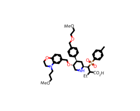 CCC(C(=O)O)C([C@@H]1C[C@H](c2ccc(COCCOC)cc2)[C@@H](OCc2ccc3c(c2)N(CCCOC)CCO3)CN1)S(=O)(=O)c1ccc(C)cc1